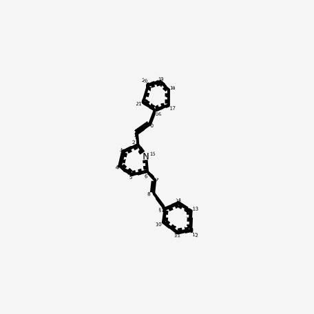 C(=Cc1cccc(C=Cc2ccccc2)n1)c1ccccc1